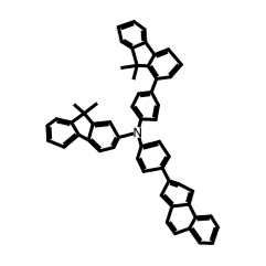 CC1(C)c2ccccc2-c2ccc(N(c3ccc(-c4ccc5c(ccc6ccccc65)c4)cc3)c3ccc(-c4cccc5c4C(C)(C)c4ccccc4-5)cc3)cc21